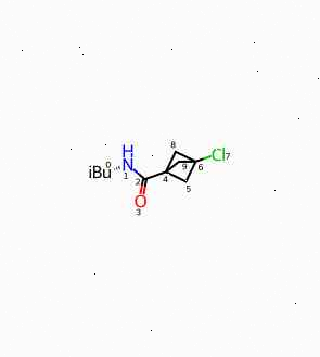 CC[C@@H](C)NC(=O)C12CC(Cl)(C1)C2